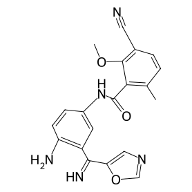 COc1c(C#N)ccc(C)c1C(=O)Nc1ccc(N)c(C(=N)c2cnco2)c1